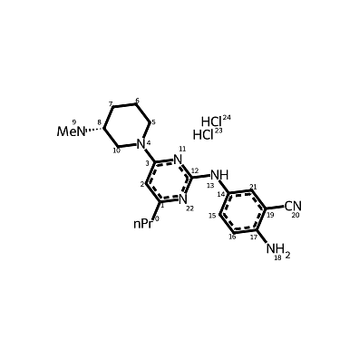 CCCc1cc(N2CCC[C@@H](NC)C2)nc(Nc2ccc(N)c(C#N)c2)n1.Cl.Cl